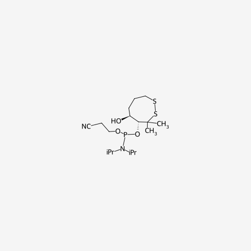 CC(C)N(C(C)C)P(OCCC#N)O[C@@H]1[C@@H](O)CCCSSC1(C)C